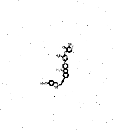 COc1ccc(CN(C#N)CC#Cc2ccc3c(c2)[C@@H](N)C2(CCN(c4cnc(Sc5ccnc(N)c5Cl)c(N)n4)CC2)C3)cc1